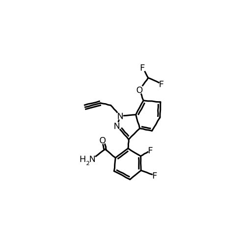 C#CCn1nc(-c2c(C(N)=O)ccc(F)c2F)c2cccc(OC(F)F)c21